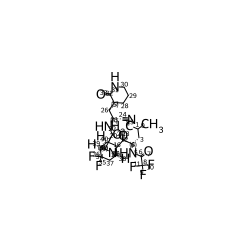 CC(C)C[C@H](NC(=O)C(F)(F)F)C(=O)N1[C@H]2CC[C@@H]([C@H]1C(=O)N[C@@H](C#N)C[C@@H]1CCCNC1=O)C(F)(F)C2